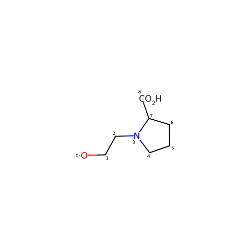 [O]CCN1CCCC1C(=O)O